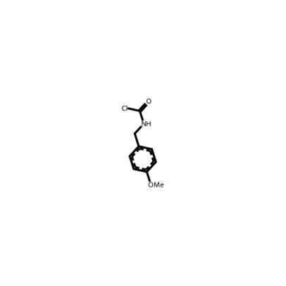 COc1ccc(CNC(=O)Cl)cc1